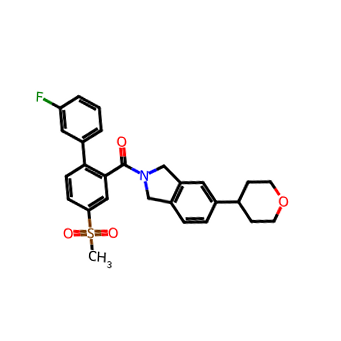 CS(=O)(=O)c1ccc(-c2cccc(F)c2)c(C(=O)N2Cc3ccc(C4CCOCC4)cc3C2)c1